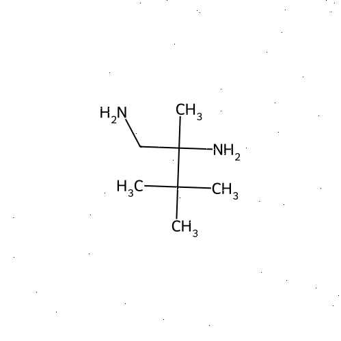 CC(C)(C)C(C)(N)CN